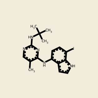 Cc1cnc(NC(C)(C)C)nc1Nc1ccc(I)c2[nH]ccc12